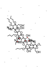 CCCCOC1[C@H](O[C@H]2OC(CO)[C@@H](O[C@@H]3OC(C(=O)O)[C@@H](O[C@@H]4OC(CO)[C@@H](OCCCC)C(OCCCC)[C@@H]4N=[N+]=[N-])C(OCCCC)[C@@H]3OCCCC)C(O)[C@@H]2N=[N+]=[N-])C(C(=O)O)O[C@@H](O[C@@H]2C(CO)O[C@H](OC)C(N=[N+]=[N-])[C@H]2OCCCC)[C@H]1O